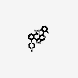 COc1cccc(F)c1-c1cc2c(-c3c(C(N)=O)cccc3N3CCN(C)CC3)n[nH]c2cn1